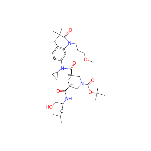 COCCCN1C(=O)C(C)(C)Cc2ccc(N(C(=O)[C@@H]3C[C@H](C(=O)NC(CO)CC(C)C)CN(C(=O)OC(C)(C)C)C3)C3CC3)cc21